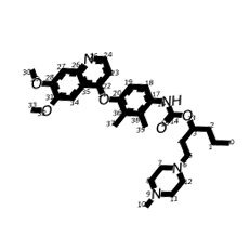 CCCC(CCN1CCN(C)CC1)OC(=O)Nc1ccc(Oc2ccnc3cc(OC)c(OC)cc23)c(C)c1C